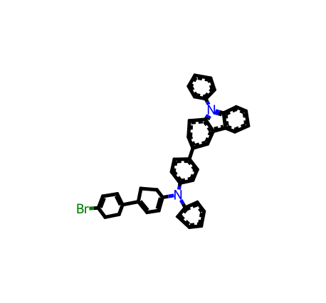 BrC1=CC=C(C2=CC=C(N(c3ccccc3)c3ccc(-c4ccc5c(c4)c4ccccc4n5-c4ccccc4)cc3)CC2)CC1